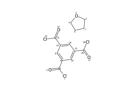 C1CCOC1.O=C(Cl)c1cc(C(=O)Cl)cc(C(=O)Cl)c1